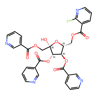 O=C(OC[C@@]1(O)O[C@H](COC(=O)c2cccnc2F)[C@@H](OC(=O)c2cccnc2)[C@@H]1OC(=O)c1cccnc1)c1cccnc1